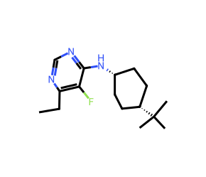 CCc1ncnc(N[C@H]2CC[C@@H](C(C)(C)C)CC2)c1F